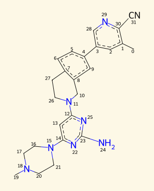 Cc1cc(-c2ccc3c(c2)CN(c2cc(N4CCN(C)CC4)nc(N)n2)CC3)cnc1C#N